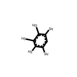 Oc1c(S)cc(S)c(S)c1S